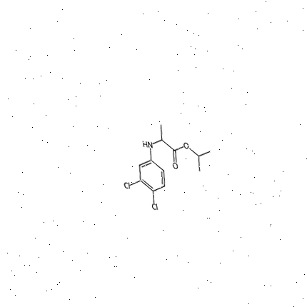 CC(C)OC(=O)C(C)Nc1ccc(Cl)c(Cl)c1